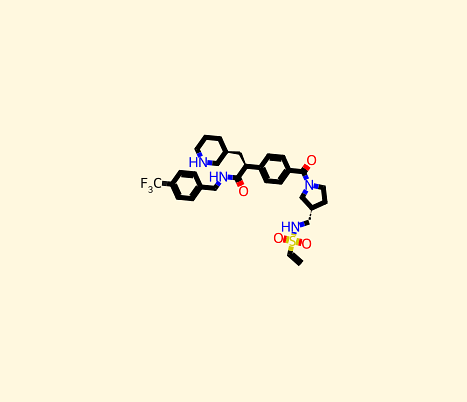 C=CS(=O)(=O)NC[C@H]1CCN(C(=O)c2ccc([C@H](C[C@@H]3CCCNC3)C(=O)NCc3ccc(C(F)(F)F)cc3)cc2)C1